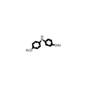 CC(=O)Oc1ccc(Nc2ccc(OC(C)=O)cc2)cc1